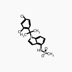 CC(C)(c1ccc(Cl)cc1Cl)n1ccc2c(NS(C)(=O)=O)cccc21